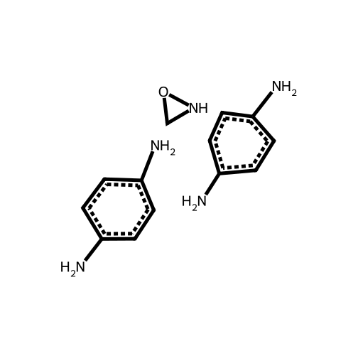 C1NO1.Nc1ccc(N)cc1.Nc1ccc(N)cc1